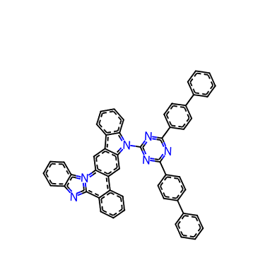 c1ccc(-c2ccc(-c3nc(-c4ccc(-c5ccccc5)cc4)nc(-n4c5ccccc5c5cc6c(cc54)c4ccccc4c4nc5ccccc5n64)n3)cc2)cc1